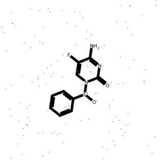 Nc1nc(=O)n([S+]([O-])c2ccccc2)cc1F